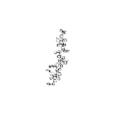 CCCN1CCC(NC(=O)c2cc(OC)ccc2NC(=O)c2cccc(N3CCC(C4CC(NC(=O)c5ccc(F)cc5NC(=O)c5cccc(N6CC(C7CC(NC(=O)c8ccc(C)cc8NC(=O)c8cccc(N9CCCC9=O)c8)CCN7CCC)CC6=O)c5)CCN4CCC)C3=O)c2)CC1